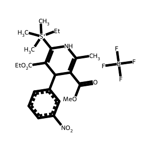 CCOC(=O)C1=C([S+](C)(C)(C)CC)NC(C)=C(C(=O)OC)C1c1cccc([N+](=O)[O-])c1.F[B-](F)(F)F